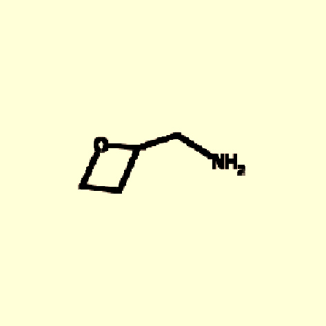 NC[C]1CCO1